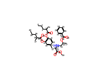 CCCC(C)C(=O)Oc1ccc(C[C@H](NCC(C)OC(=O)c2ccccc2)C(=O)OC)cc1OC(=O)C(C)CCC